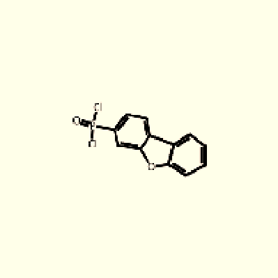 O=P(Cl)(Cl)c1ccc2c(c1)oc1ccccc12